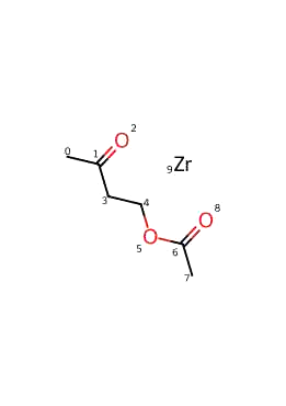 CC(=O)CCOC(C)=O.[Zr]